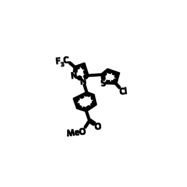 COC(=O)c1ccc(-n2nc(C(F)(F)F)cc2-c2ccc(Cl)s2)cc1